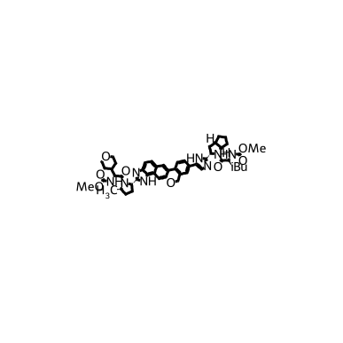 CC[C@H](C)C(NC(=O)OC)C(=O)N1[C@H](c2ncc(-c3ccc4c(c3)COc3cc5c(ccc6nc([C@@H]7CC[C@H](C)N7C(=O)[C@@H](NC(=O)OC)C7CCOCC7)[nH]c65)cc3-4)[nH]2)C[C@@H]2CCC[C@@H]21